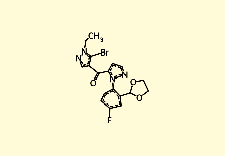 CCn1ncc(C(=O)c2ccnn2-c2ccc(F)cc2C2OCCO2)c1Br